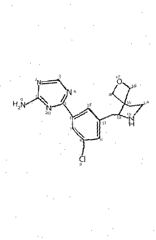 Nc1ncnc(-c2cc(Cl)cc(C3NCC34COC4)c2)n1